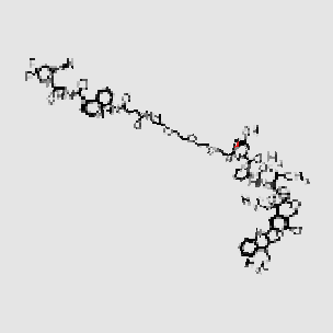 CCc1c2c(nc3ccccc13)-c1cc3c(c(=O)n1C2)COC(=O)[C@@]3(CC)OC(=O)[C@@H](NC(=O)[C@@H]1CCCN1C(=O)[C@H](CC(=O)O)NC(=O)CCOCCOCCOCCNC(=O)CCC(=O)Nc1cccc2c(C(=O)NCC(=O)N3CC(F)(F)C[C@H]3C#N)ccnc12)C(C)C